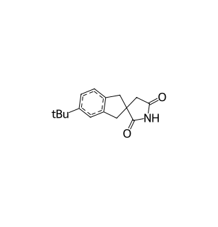 CC(C)(C)c1ccc2c(c1)CC1(CC(=O)NC1=O)C2